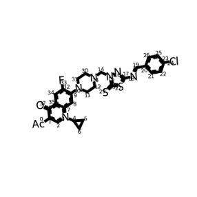 CC(=O)c1cn(C2CC2)c2cc(N3CCN(Cn4nc(/N=C/c5ccc(Cl)cc5)sc4=S)CC3)c(F)cc2c1=O